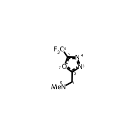 CNCc1nnc(C(F)(F)F)o1